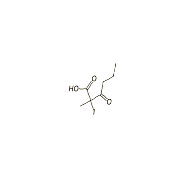 CCCC(=O)C(C)(I)C(=O)O